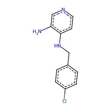 Nc1cnccc1NCc1ccc(Cl)cc1